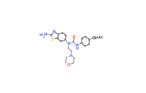 CC(=O)Nc1ccc(NC(=O)N(CCN2CCOCC2)c2ccc3nc(N)sc3c2)cc1